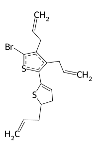 C=CCc1c(Br)sc(C2=CCC(CC=C)S2)c1CC=C